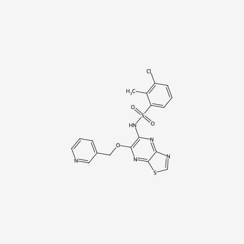 Cc1c(Cl)cccc1S(=O)(=O)Nc1nc2ncsc2nc1OCc1cccnc1